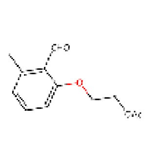 CC(=O)OCCOc1cccc(C)c1C=O